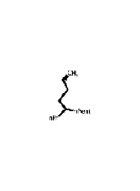 C=CCCC(CCC)CCCCC